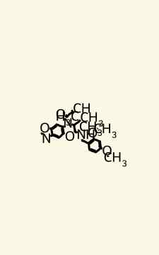 C#CC(=O)N(c1ccc2ncoc2c1)C(C(=O)NCc1ccc(OC)cc1OC)C(C)(C)C